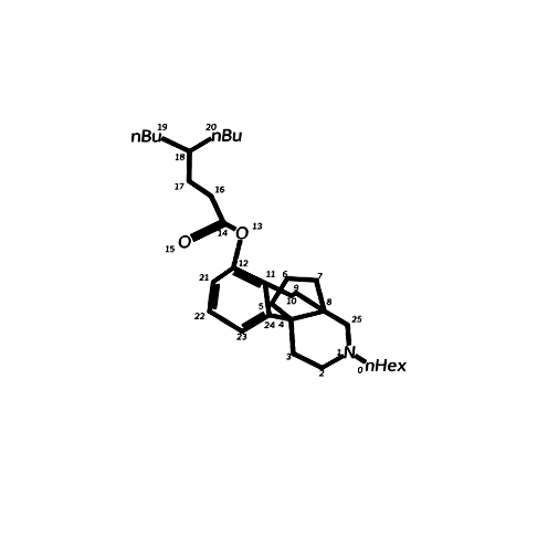 CCCCCCN1CCC23CCCC2(CCc2c(OC(=O)CCC(CCCC)CCCC)cccc23)C1